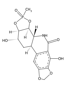 CP1(=O)O[C@H]2[C@@H]3NC(=O)c4c(cc5c(c4O)OCO5)[C@H]3C[C@H](O)[C@H]2O1